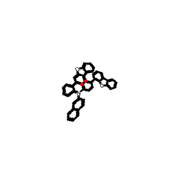 c1ccc(N(c2ccc(-c3cccc4c3oc3ccccc34)cc2)c2ccc3ccccc3c2)c(-c2ccc3c(c2)oc2ccccc23)c1